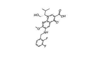 COc1nc2c(cc1NCc1cccc(F)c1F)c(=O)c(C(=O)O)cn2[C@H](CO)C(C)C